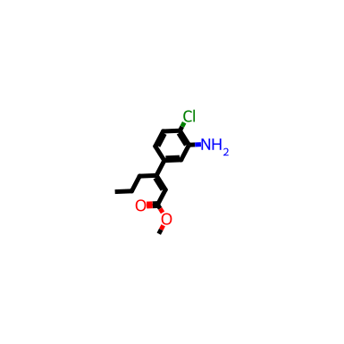 CCCC(=CC(=O)OC)c1ccc(Cl)c(N)c1